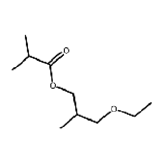 CCOCC(C)COC(=O)C(C)C